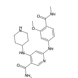 CNC(=O)c1ccc(Nc2cc(NC3CCNCC3)c(C(N)=O)cn2)cc1OC